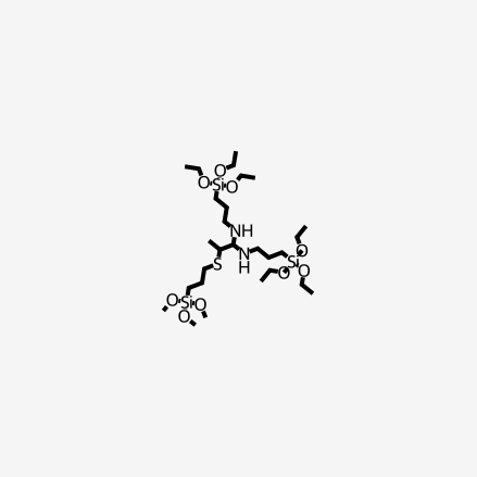 CCO[Si](CCCNC(NCCC[Si](OCC)(OCC)OCC)C(C)SCCC[Si](OC)(OC)OC)(OCC)OCC